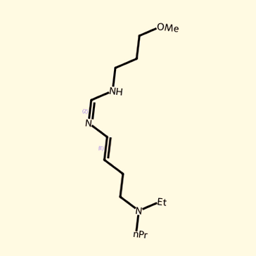 CCCN(CC)CC/C=C/N=C\NCCCOC